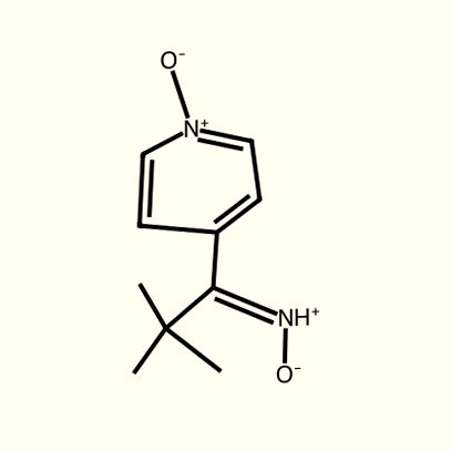 CC(C)(C)C(=[NH+][O-])c1cc[n+]([O-])cc1